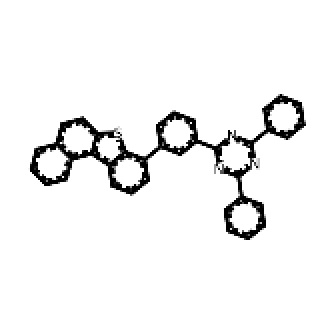 c1ccc(-c2nc(-c3ccccc3)nc(-c3cccc(-c4cccc5c4sc4ccc6ccccc6c45)c3)n2)cc1